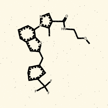 COCCNC(=O)c1cnn(-c2cccc3cc(Cc4cccc(C(F)(F)F)c4)sc23)c1C